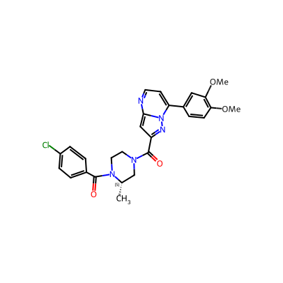 COc1ccc(-c2ccnc3cc(C(=O)N4CCN(C(=O)c5ccc(Cl)cc5)[C@@H](C)C4)nn23)cc1OC